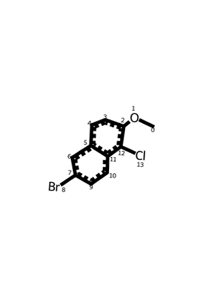 COc1ccc2cc(Br)ccc2c1Cl